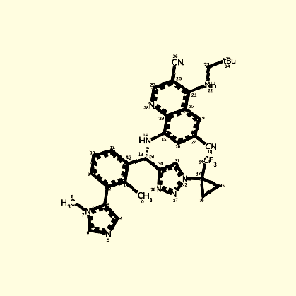 Cc1c(-c2cncn2C)cccc1[C@H](Nc1cc(C#N)cc2c(NCC(C)(C)C)c(C#N)cnc12)c1cn(C2(C(F)(F)F)CC2)nn1